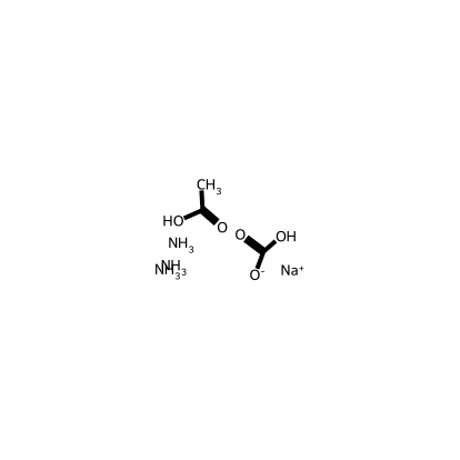 CC(=O)O.N.N.N.O=C([O-])O.[Na+]